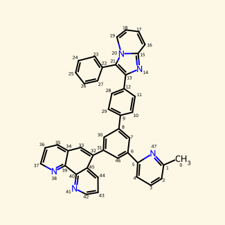 Cc1cccc(-c2cc(-c3ccc(-c4nc5ccccn5c4-c4ccccc4)cc3)cc(-c3cc4cccnc4c4ncccc34)c2)n1